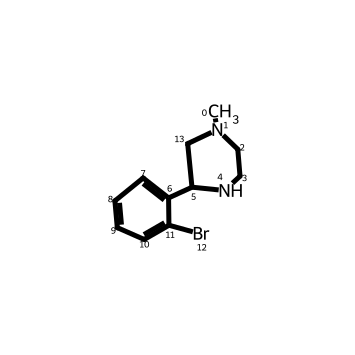 CN1CCNC(c2ccccc2Br)C1